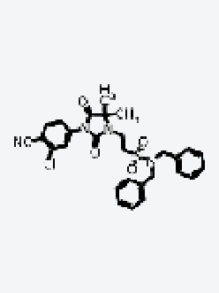 CC1(C)C(=O)N(c2ccc(C#N)c(Cl)c2)C(=O)N1CCS(=O)(=O)N(Cc1ccccc1)Cc1ccccc1